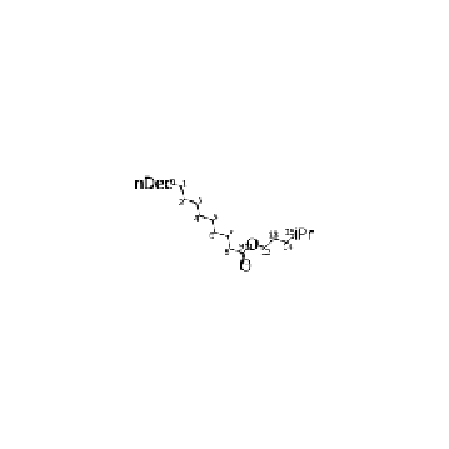 CCCCCCCCCCCCCCCCCCC(=O)OCCCC(C)C